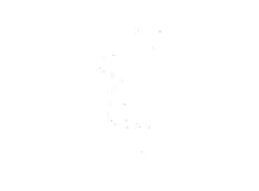 O=C1NC2(CN(C(=O)C3CS(=O)(=O)C3)C2)c2ccc(C3=NOC(c4cc(Cl)c(F)c(Cl)c4)(C(F)(F)F)C3)cc21